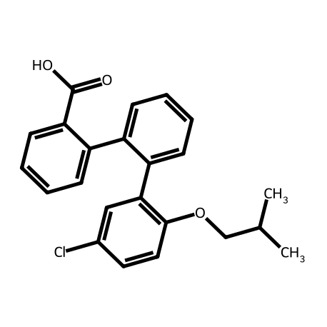 CC(C)COc1ccc(Cl)cc1-c1ccccc1-c1ccccc1C(=O)O